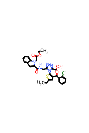 CCOC(=O)Cn1c(C(=O)NCc2nnc(CO)n2-c2sc(CC)cc2C(=O)c2ccccc2Cl)cc2ccccc21